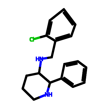 Clc1ccccc1CNC1CCCNC1c1ccccc1